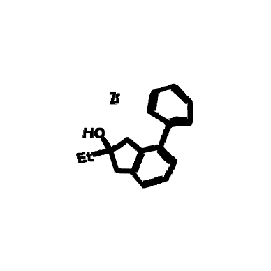 CCC1(O)Cc2cccc(-c3ccccc3)c2C1.[Zr]